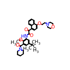 COc1c(NC(=O)C(=O)c2ccc(OCCN3CCOCC3)c3ccccc23)cc(C(C)(C)C)cc1C(=O)N1CCCCC1